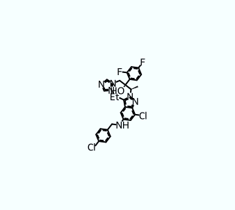 CCc1c2cc(NCc3ccc(Cl)cc3)cc(Cl)c2nn1[C@H](C)[C@](O)(Cn1cncn1)c1ccc(F)cc1F